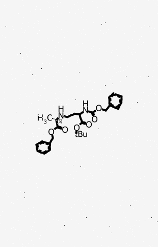 C[C@H](NCCC(NC(=O)OCc1ccccc1)C(=O)OC(C)(C)C)C(=O)OCc1ccccc1